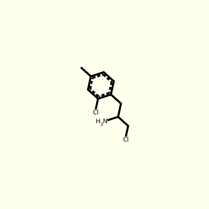 Cc1ccc(CC(N)CCl)c(Cl)c1